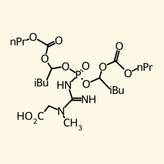 CCCOC(=O)OC(OP(=O)(NC(=N)N(C)CC(=O)O)OC(OC(=O)OCCC)C(C)CC)C(C)CC